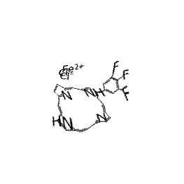 Fc1cc(-c2cc3cc4nc(cc5ccc(cc6nc(cc2[nH]3)C=C6)[nH]5)C=C4)cc(F)c1F.[Cl-].[Cl-].[Fe+2]